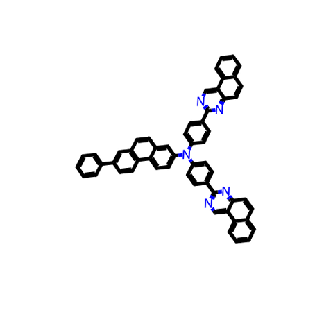 c1ccc(-c2ccc3c(ccc4cc(N(c5ccc(-c6ncc7c(ccc8ccccc87)n6)cc5)c5ccc(-c6ncc7c(ccc8ccccc87)n6)cc5)ccc43)c2)cc1